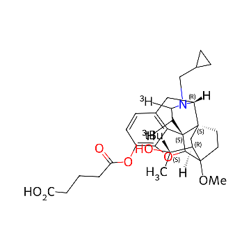 [3H]C1C([3H])[C@]23c4c5ccc(OC(=O)CCCC(=O)O)c4OC2C2(OC)CC[C@@]3(C[C@@H]2[C@](C)(O)C(C)(C)C)[C@@H](C5)N1CC1CC1